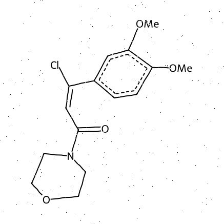 COc1ccc(/C(Cl)=C\C(=O)N2CCOCC2)cc1OC